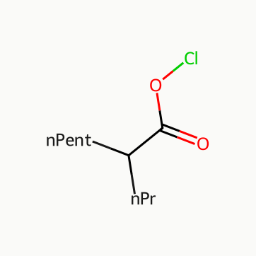 CCCCCC(CCC)C(=O)OCl